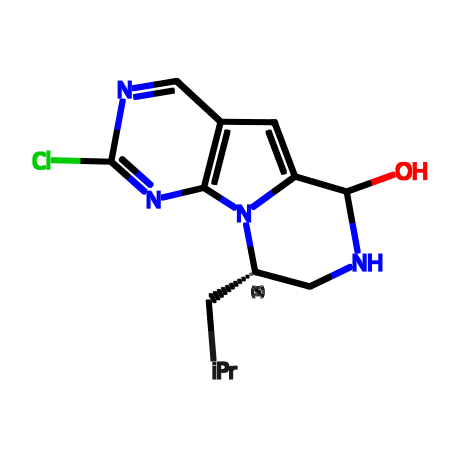 CC(C)C[C@H]1CNC(O)c2cc3cnc(Cl)nc3n21